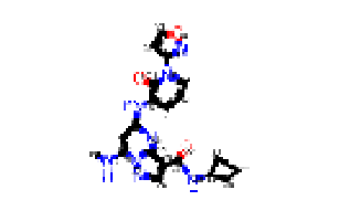 CNc1cc(Nc2cccn(-c3ccon3)c2=O)nc2c(C(=O)NC3CCC3)cnn12